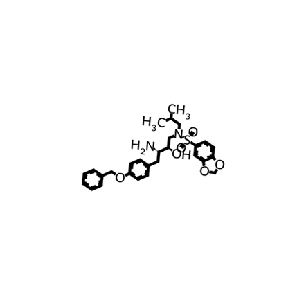 CC(C)CN(C[C@@H](O)[C@@H](N)Cc1ccc(OCc2ccccc2)cc1)S(=O)(=O)c1ccc2c(c1)OCO2